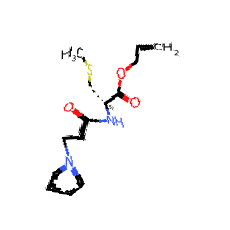 C=CCOC(=O)[C@@H](CSC)NC(=O)CCn1cccc1